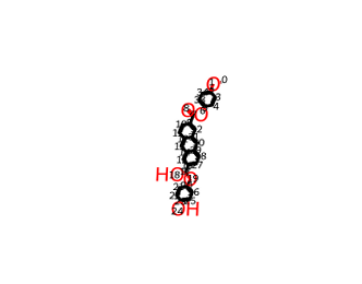 COc1ccc(OC(=O)c2ccc3cc4cc(C(O)Oc5ccc(O)cc5)ccc4cc3c2)cc1